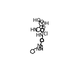 O=C(O)CC(C(=O)O)C1CNCCc2c1ccc(Cl)c2NCc1ccc(-c2csc(NCC3CCCCC3)n2)cc1